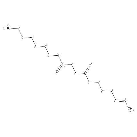 CC=CCCCCC(=O)CCC(=O)CCCCCCCC=O